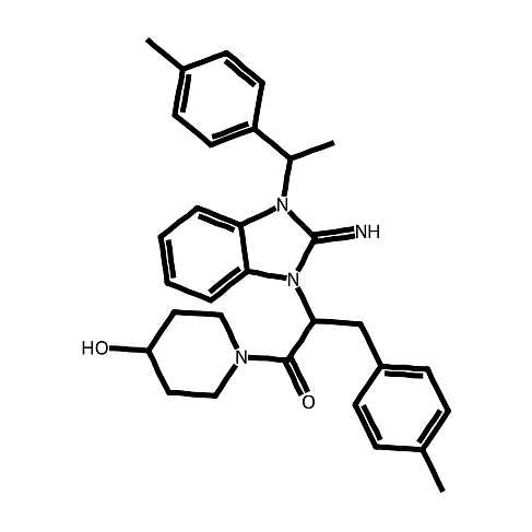 Cc1ccc(CC(C(=O)N2CCC(O)CC2)n2c(=N)n(C(C)c3ccc(C)cc3)c3ccccc32)cc1